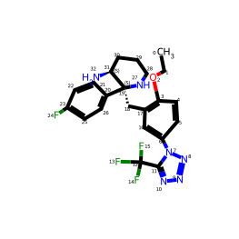 CCOc1ccc(-n2nnnc2C(F)(F)F)cc1C[C@@]1(c2ccc(F)cc2)NCCC[C@@H]1N